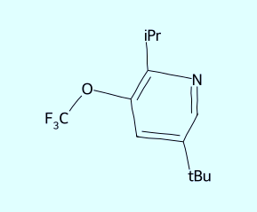 CC(C)c1ncc(C(C)(C)C)cc1OC(F)(F)F